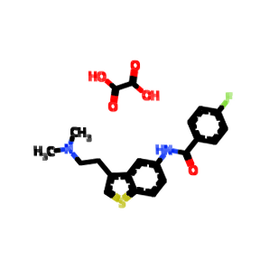 CN(C)CCc1csc2ccc(NC(=O)c3ccc(F)cc3)cc12.O=C(O)C(=O)O